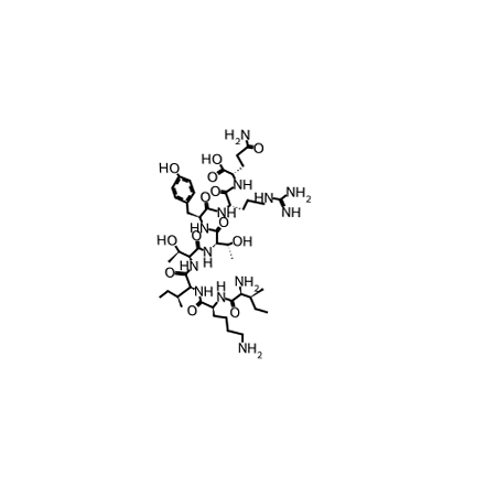 CC[C@H](C)[C@H](N)C(=O)N[C@@H](CCCCN)C(=O)N[C@H](C(=O)N[C@H](C(=O)N[C@H](C(=O)N[C@@H](Cc1ccc(O)cc1)C(=O)N[C@@H](CCCNC(=N)N)C(=O)N[C@@H](CCC(N)=O)C(=O)O)[C@@H](C)O)[C@@H](C)O)[C@@H](C)CC